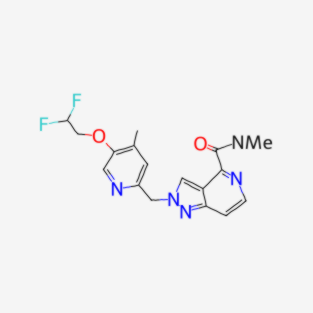 CNC(=O)c1nccc2nn(Cc3cc(C)c(OCC(F)F)cn3)cc12